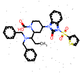 CCC(C1CC(n2c(=O)n(S(=O)(=O)c3cccs3)c3ccccc32)CCN1C(=O)O)N(Cc1ccccc1)Cc1ccccc1